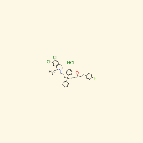 CC1c2cc(Cl)c(Cl)cc2CCN1CCCC(CCCC(=O)CCc1ccc(F)cc1)(c1ccccc1)c1ccccc1.Cl